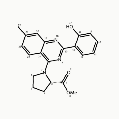 COC(=O)[C@@H]1CCCN1c1nc(-c2ccccc2O)nc2cc(C)ccc12